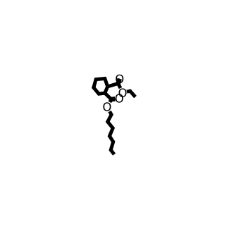 CCCCCCCOC(=O)C1CCCCC1C(=O)OCC